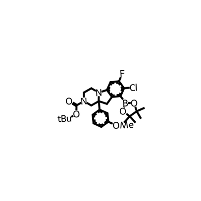 COc1cccc(C23Cc4c(cc(F)c(Cl)c4B4OC(C)(C)C(C)(C)O4)N2CCN(C(=O)OC(C)(C)C)C3)c1